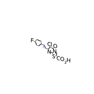 O=C(O)c1cn2c(=O)c(Cl)c(/C=C/c3ccc(F)cc3)nc2s1